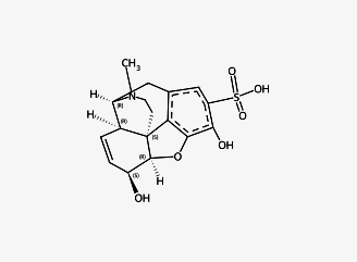 CN1CC[C@]23c4c5cc(S(=O)(=O)O)c(O)c4O[C@H]2[C@@H](O)C=C[C@H]3[C@H]1C5